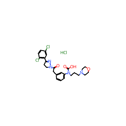 Cl.O=C(Cc1cccc(N(CCCN2CCOCC2)C(=O)O)c1)N1CCC(c2cc(Cl)ccc2Cl)=N1